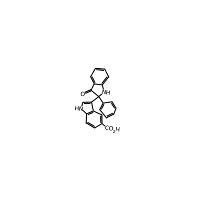 O=C(O)c1ccc2[nH]cc(C3(c4ccccc4)Nc4ccccc4C3=O)c2c1